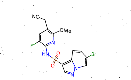 COc1nc(NS(=O)(=O)c2cnn3cc(Br)ccc23)c(F)cc1CC#N